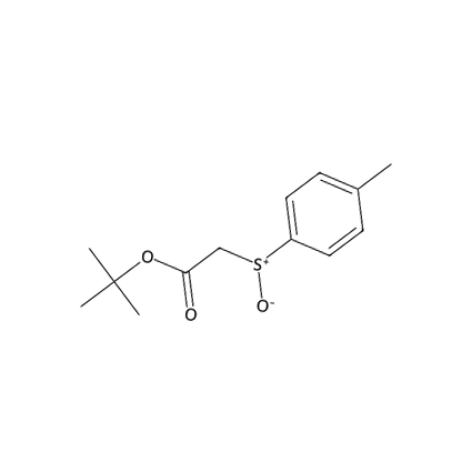 Cc1ccc([S+]([O-])CC(=O)OC(C)(C)C)cc1